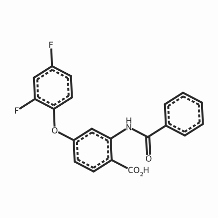 O=C(Nc1cc(Oc2ccc(F)cc2F)ccc1C(=O)O)c1ccccc1